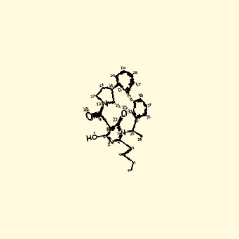 CCCCc1nc(O)c(C(=O)N2CC[C@@H](c3ccccc3)C2)c(=O)n1[C@H](C)c1ccccc1